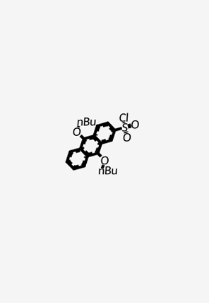 CCCCOc1c2ccccc2c(OCCCC)c2cc(S(=O)(=O)Cl)ccc12